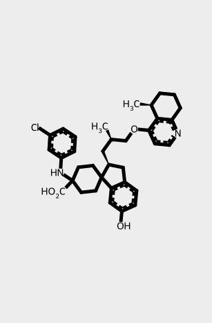 C[C@@H](COc1ccnc2c1[C@@H](C)CCC2)C[C@H]1Cc2ccc(O)cc2C12CCC(Nc1cccc(Cl)c1)(C(=O)O)CC2